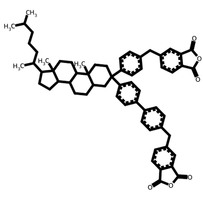 CC(C)CCCC(C)C1CCC2C3CCC4CC(c5ccc(Cc6ccc7c(c6)C(=O)OC7=O)cc5)(c5ccc(-c6ccc(Cc7ccc8c(c7)C(=O)OC8=O)cc6)cc5)CCC4(C)C3CCC12C